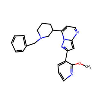 COc1ncccc1-c1cc2nccc(C3CCCN(Cc4ccccc4)C3)n2n1